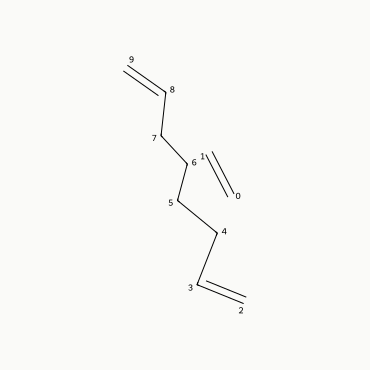 C=C.C=CCCCCC=C